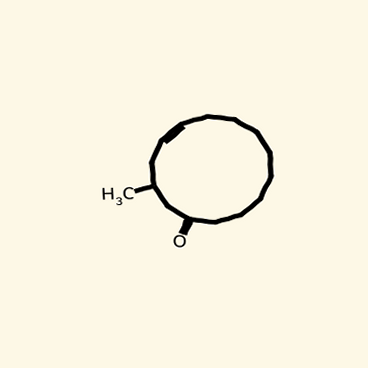 CC1C/C=C\CCCCCCCCC(=O)C1